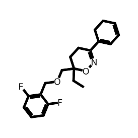 CCC1(COCc2c(F)cccc2F)CCC(C2=CC=CCC2)=NO1